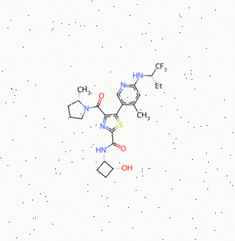 CC[C@H](Nc1cc(C)c(-c2sc(C(=O)N[C@H]3CC[C@H]3O)nc2C(=O)N2CCC[C@@H]2C)cn1)C(F)(F)F